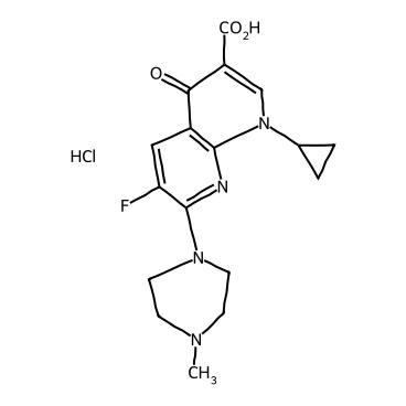 CN1CCN(c2nc3c(cc2F)c(=O)c(C(=O)O)cn3C2CC2)CC1.Cl